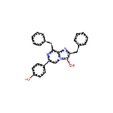 Oc1ccc(-c2cn3c(O)c(Cc4ccccc4)nc3c(Cc3ccccc3)n2)cc1